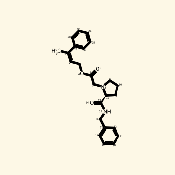 CC(=CCOC(=O)CN1CCC[C@H]1C(=O)NCc1ccccc1)c1ccccc1